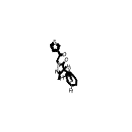 CC1=NN(CC(=O)c2ccsc2)C(=O)C1(C)[C@H]1C[C@H]2CC[C@@H]1CC2